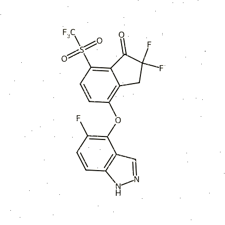 O=C1c2c(S(=O)(=O)C(F)(F)F)ccc(Oc3c(F)ccc4[nH]ncc34)c2CC1(F)F